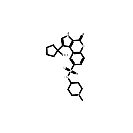 CN1CCC(NS(=O)(=O)c2ccc3[nH]c(=O)c4[nH]cc(C5(C(=O)O)CCCC5)c4c3c2)CC1